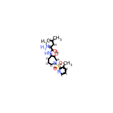 Cc1cccnc1S(=O)(=O)N1CCCC(NC(=O)[C@@H](N)CC(C)C)C(=O)C1